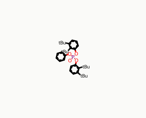 CC(C)(C)c1cccc(OP(=O)(Oc2ccccc2)Oc2cccc(C(C)(C)C)c2C(C)(C)C)c1C(C)(C)C